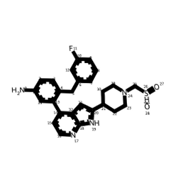 Nc1ccc(Cc2cccc(F)c2)c(-c2ccnc3[nH]c(C4CCN(C[SH](=O)=O)CC4)cc23)c1